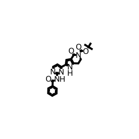 CC(C)(C)OC(=O)N1CCc2[nH]c(-c3ccnc(NC(=O)c4ccccc4)n3)cc2C1=O